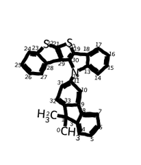 CC1(C)c2ccccc2-c2cc(-n3c4ccccc4c4sc5sc6ccccc6c5c43)ccc21